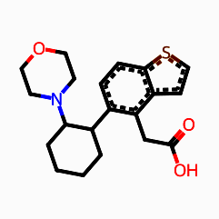 O=C(O)Cc1c(C2CCCCC2N2CCOCC2)ccc2sccc12